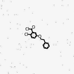 O=C(Cl)c1cc(OCCc2ccccc2)ccc1Cl